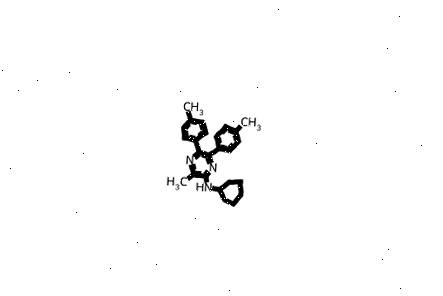 Cc1ccc(-c2nc(C)c(NC3CCCCC3)nc2-c2ccc(C)cc2)cc1